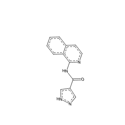 O=C(Nc1nccc2ccccc12)c1cn[nH]c1